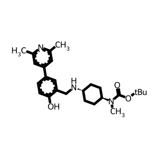 Cc1cc(-c2ccc(O)c(CN[C@H]3CC[C@H](N(C)C(=O)OC(C)(C)C)CC3)c2)cc(C)n1